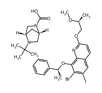 CC(C)(C)N1C[C@@H]2C[C@H]1CN2C(=O)O.CO[C@@H](C)COc1ccc2cc(I)c(Br)c(O[C@@H](C)c3ccccc3)c2n1